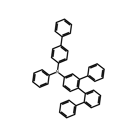 c1ccc(-c2ccc(N(c3ccccc3)c3ccc(-c4ccccc4-c4ccccc4)c(-c4ccccc4)c3)cc2)cc1